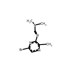 Cc1ncc(Br)nc1/N=C/N(C)C